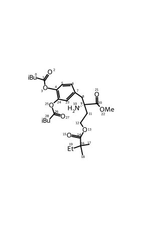 CCC(C)C(=O)Oc1ccc(C[C@](N)(CCOC(=O)C(C)(C)CC)C(=O)OC)cc1OC(=O)C(C)CC